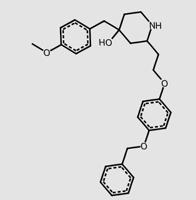 COc1ccc(CC2(O)CCNC(CCOc3ccc(OCc4ccccc4)cc3)C2)cc1